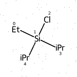 CC[Si](Cl)(C(C)C)C(C)C